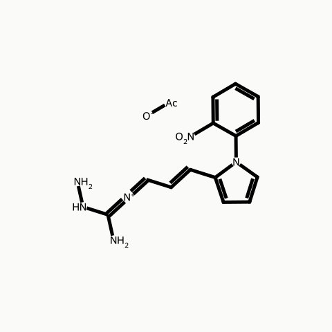 CC(=O)[O-].NNC(N)=[N+]=C/C=C/c1cccn1-c1ccccc1[N+](=O)[O-]